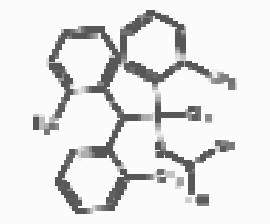 Cc1ccccc1C(c1ccccc1C)C(C)(OB(O)O)c1ccccc1C